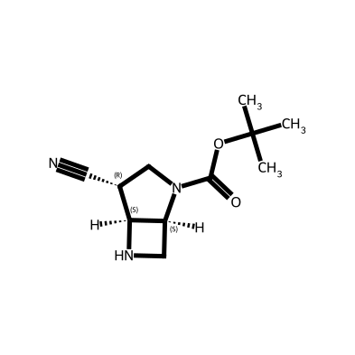 CC(C)(C)OC(=O)N1C[C@@H](C#N)[C@@H]2NC[C@@H]21